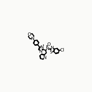 Cn1c(-c2ccc(N3CCOCC3)cc2)cnc1C(Cc1ccccn1)N(C=O)c1nc2cc(Cl)ccc2s1